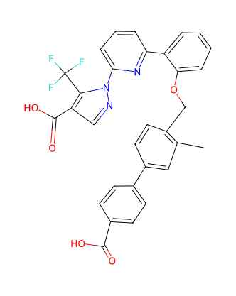 Cc1cc(-c2ccc(C(=O)O)cc2)ccc1COc1ccccc1-c1cccc(-n2ncc(C(=O)O)c2C(F)(F)F)n1